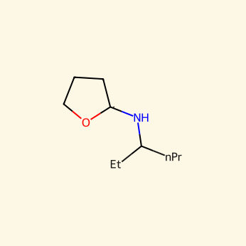 CCCC(CC)N[C]1CCCO1